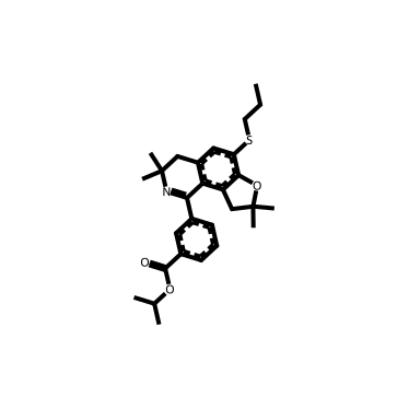 CCCSc1cc2c(c3c1OC(C)(C)C3)C(c1cccc(C(=O)OC(C)C)c1)=NC(C)(C)C2